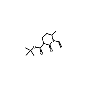 C=CN1C(=O)C(C(=O)OC(C)(C)C)CCC1C